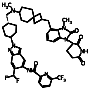 CN(C[C@H]1CC[C@H](n2cc3cc(NC(=O)c4cccc(C(F)(F)F)n4)c(C(F)F)cc3n2)CC1)C1CCC2(CC1)CC(Cc1cccc3c1n(C)c(=O)n3C1CCC(=O)NC1=O)C2